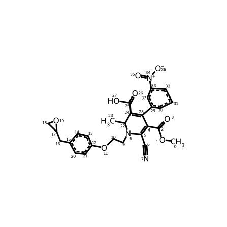 COC(=O)C1=C(C#N)N(CCOc2ccc(CC3CO3)cc2)C(C)C(C(=O)O)=C1c1cccc([N+](=O)[O-])c1